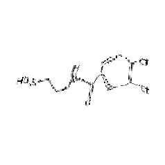 CCc1cc(C(=O)NCCS(=O)(=O)O)ccc1Cl